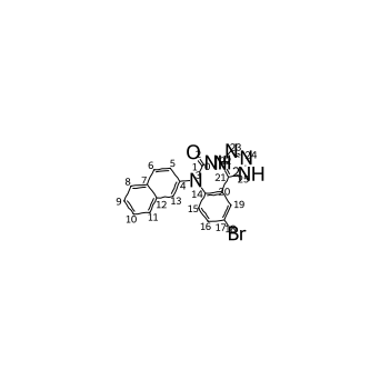 NC(=O)N(c1ccc2ccccc2c1)c1ccc(Br)cc1-c1nnn[nH]1